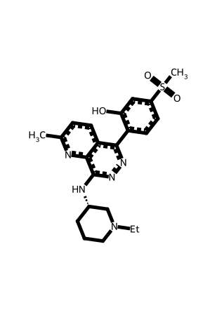 CCN1CCC[C@H](Nc2nnc(-c3ccc(S(C)(=O)=O)cc3O)c3ccc(C)nc23)C1